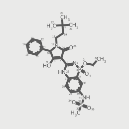 CCOP1(=O)N=C(C2=C(O)C(c3ccccc3)N(CCC(C)(C)C)C2=O)Nc2ccc(NS(C)(=O)=O)cc21